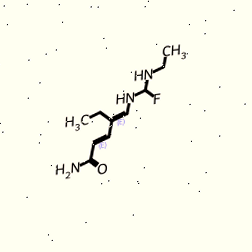 CCNC(F)N/C=C(/C=C/C(N)=O)CC